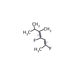 C/C(=C(F)\C=C(/C)F)C(C)C